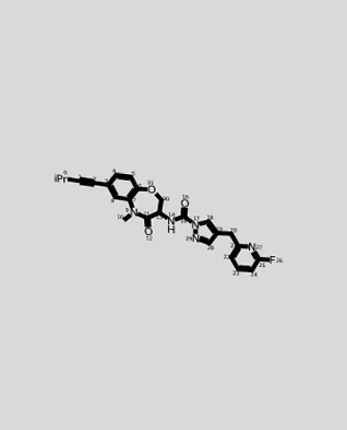 CC(C)C#Cc1ccc2c(c1)N(C)C(=O)C(NC(=O)n1cc(Cc3cccc(F)n3)cn1)CO2